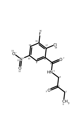 CCC(=O)CNC(=O)c1cc([N+](=O)[O-])cc(F)c1Cl